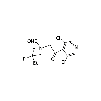 CCC(F)(CC)CN(C=O)CC(=O)c1c(Cl)cncc1Cl